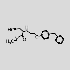 C#CCC(NCCOc1ccc(Cc2ccccc2)cc1)C(=O)OCC